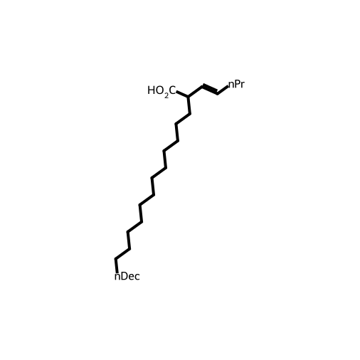 CCCC=CC(CCCCCCCCCCCCCCCCCCCCCC)C(=O)O